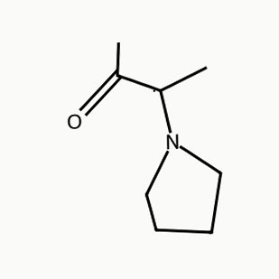 C[C](C(C)=O)N1CCCC1